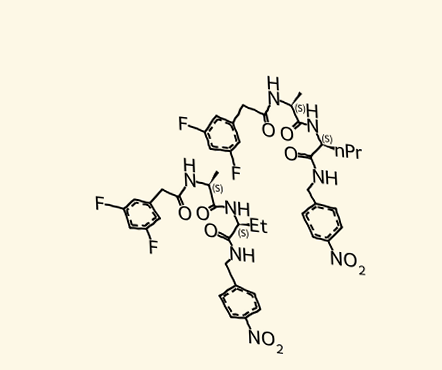 CCC[C@H](NC(=O)[C@H](C)NC(=O)Cc1cc(F)cc(F)c1)C(=O)NCc1ccc([N+](=O)[O-])cc1.CC[C@H](NC(=O)[C@H](C)NC(=O)Cc1cc(F)cc(F)c1)C(=O)NCc1ccc([N+](=O)[O-])cc1